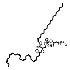 CC/C=C\C/C=C\C/C=C\C/C=C\C/C=C\C/C=C\CCC(=O)OC(COP(=O)(O)OCCN)C(F)O/C=C\CCCCCCCCCCCCCCCC